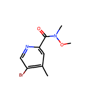 CON(C)C(=O)c1cc(C)c(Br)cn1